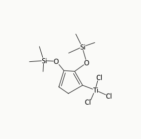 C[Si](C)(C)OC1=CC[C]([Ti]([Cl])([Cl])[Cl])=C1O[Si](C)(C)C